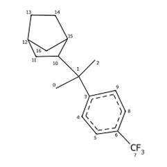 CC(C)(c1ccc(C(F)(F)F)cc1)C1CC2CCC1C2